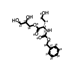 O=C(N[C@@H](CCO)C(=O)OCC(O)CO)OCc1ccccc1